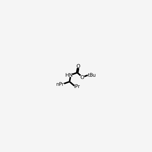 CCCC(NC(=O)OC(C)(C)C)C(C)C